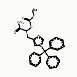 COC(=O)[C@H](Cc1cn(C(c2ccccc2)(c2ccccc2)c2ccccc2)cn1)NC(=O)OC(C)(C)C